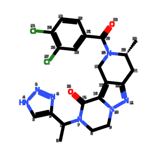 CC(c1c[nH]nn1)N1CCn2nc3c(c2C1=O)CN(C(=O)c1ccc(Cl)c(Cl)c1)[C@H](C)C3